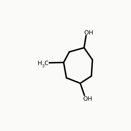 CC1CC(O)CCC(O)C1